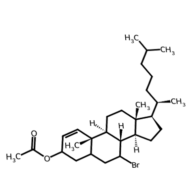 CC(=O)OC1C=C[C@@]2(C)C(C1)CC(Br)[C@H]1[C@@H]3CC[C@H]([C@H](C)CCCC(C)C)[C@@]3(C)CC[C@@H]12